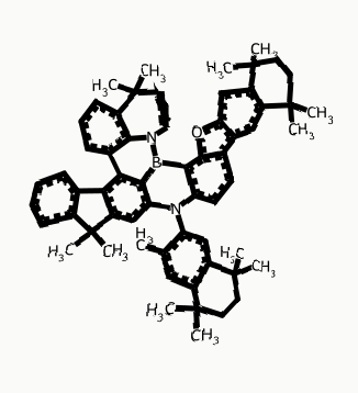 Cc1cc2c(cc1N1c3cc4c(c5c3B(c3c1ccc1c3oc3cc6c(cc31)C(C)(C)CCC6(C)C)N1c3ccccc3C(C)(C)c3cccc-5c31)-c1ccccc1C4(C)C)C(C)(C)CCC2(C)C